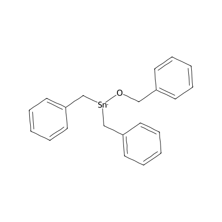 c1ccc(C[O][Sn]([CH2]c2ccccc2)[CH2]c2ccccc2)cc1